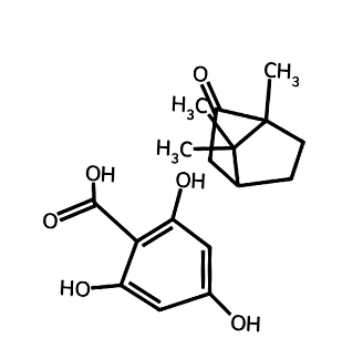 CC12CCC(CC1=O)C2(C)C.O=C(O)c1c(O)cc(O)cc1O